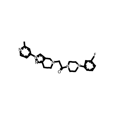 Cc1cc(-n2cc3c(n2)CCN(CC(=O)N2CCN(c4cccc(F)c4)CC2)C3)ccn1